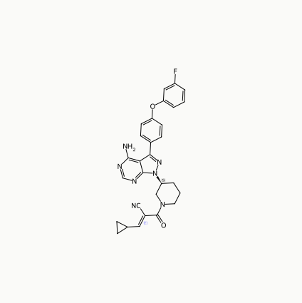 N#C/C(=C\C1CC1)C(=O)N1CCC[C@H](n2nc(-c3ccc(Oc4cccc(F)c4)cc3)c3c(N)ncnc32)C1